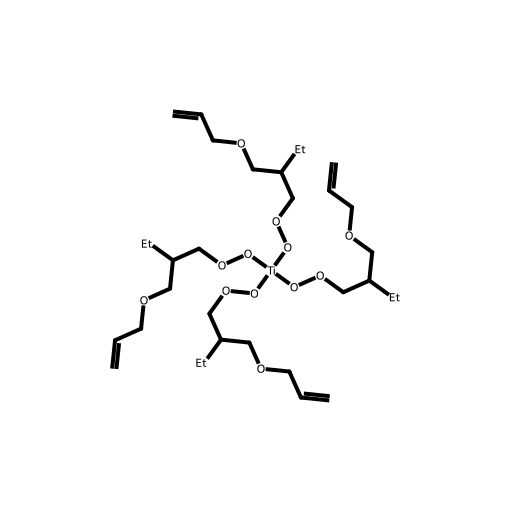 C=CCOCC(CC)CO[O][Ti]([O]OCC(CC)COCC=C)([O]OCC(CC)COCC=C)[O]OCC(CC)COCC=C